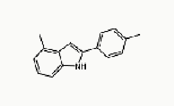 Cc1ccc(-c2cc3c(C)cccc3[nH]2)cc1